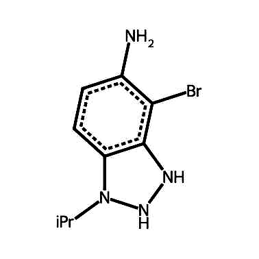 CC(C)N1NNc2c1ccc(N)c2Br